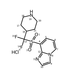 Cl.O=S(=O)(c1cccn2ccnc12)C(F)(F)C1CCNCC1